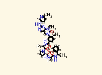 Cc1ccc(Nc2ncc3c(n2)N(C)C(=O)N(c2cc(C(=O)NC(C(=O)N4CCC[C@H]4C(=O)NC(C(=O)NC(C)c4ccccc4)C(C)C)C(C)C)ccc2C)C3)cn1